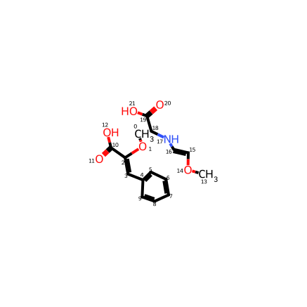 COC(=Cc1ccccc1)C(=O)O.COC=CNCC(=O)O